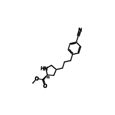 COC(=O)[C@@H]1CC(CCCc2ccc(C#N)cc2)CN1